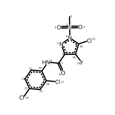 CS(=O)(=O)n1nc(C(=O)Nc2ccc(Cl)cc2Cl)c(F)c1Cl